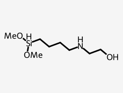 CO[SiH](CCCCNCCO)OC